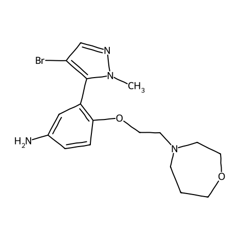 Cn1ncc(Br)c1-c1cc(N)ccc1OCCN1CCCOCC1